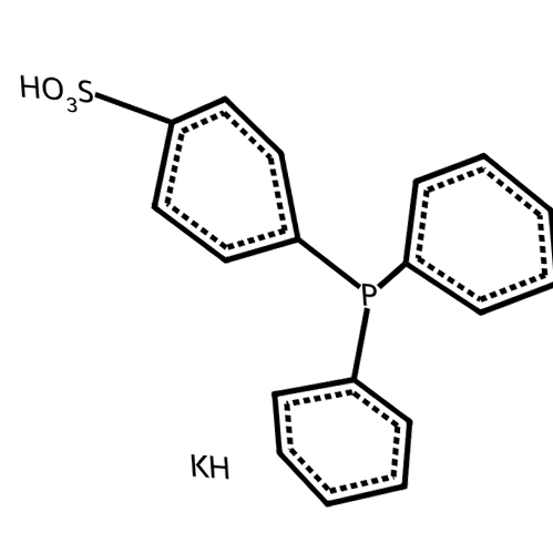 O=S(=O)(O)c1ccc(P(c2ccccc2)c2ccccc2)cc1.[KH]